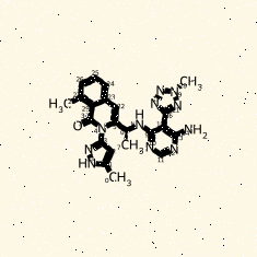 Cc1cc(-n2c([C@H](C)Nc3ncnc(N)c3-c3nnn(C)n3)cc3cccc(C)c3c2=O)n[nH]1